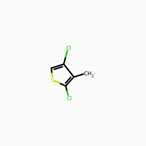 [CH2]c1c(Cl)csc1Cl